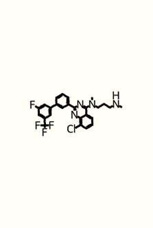 CNCCCN(C)c1nc(-c2cccc(-c3cc(F)cc(C(F)(F)F)c3)c2)nc2c(Cl)cccc12